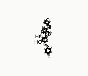 O[C@@H]1[C@H](O)[C@@H](CSc2ccc(Cl)cc2)O[C@H]1n1cnc2c(N[C@@H]3CCOC3)ncnc21